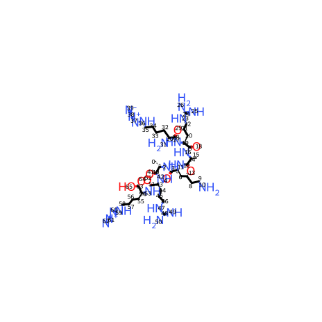 C[C@H](NC(=O)[C@H](CCCCN)NC(=O)[C@H](C)NC(=O)[C@H](CCCNC(=N)N)NC(=O)[C@@H](N)CCCCNN=[N+]=[N-])C(=O)N[C@@H](CCCNC(=N)N)C(=O)N[C@@H](CCCCNN=[N+]=[N-])C(=O)O